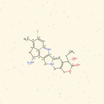 CC[C@@]1(O)C(=O)OCC2=C1C=C1c3nc4cc(F)c(C)c5c4c(c3CN1C2)C(N)C5